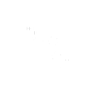 COc1ccc(-c2cccc([C@@H]3COB(O)C3)c2)cc1OC